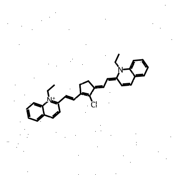 CCN1/C(=C/C=C2\CCC(/C=C/c3ccc4ccccc4[n+]3CC)=C2Cl)C=Cc2ccccc21